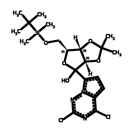 CC1(C)O[C@H]2[C@@H](O1)C(O)(c1ccc3c(Cl)nc(Cl)nn13)O[C@@H]2CO[Si](C)(C)C(C)(C)C